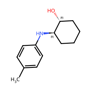 Cc1ccc(N[C@@H]2CCCC[C@H]2O)cc1